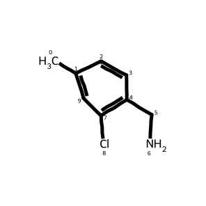 Cc1[c]cc(CN)c(Cl)c1